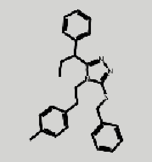 CCC(c1ccccc1)c1nnc(SCc2ccccc2)n1CCc1ccc(C)cc1